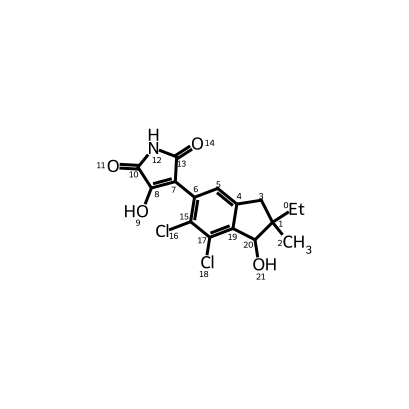 CCC1(C)Cc2cc(C3=C(O)C(=O)NC3=O)c(Cl)c(Cl)c2C1O